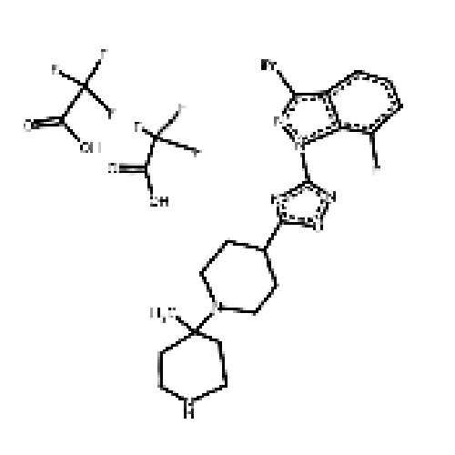 CC(C)c1nn(-c2noc(C3CCN(C4(C)CCNCC4)CC3)n2)c2c(F)cccc12.O=C(O)C(F)(F)F.O=C(O)C(F)(F)F